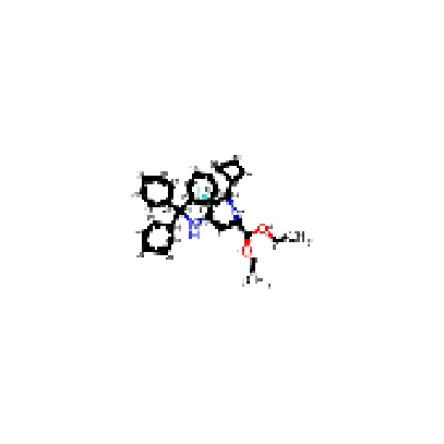 CCOC(OCC)c1cc(NC(c2ccccc2)(c2ccccc2)c2ccccc2)c(F)c(C2CCC2)n1